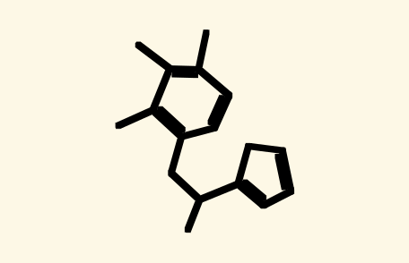 Cc1ccc(CC(C)C2=CC=CC2)c(C)c1C